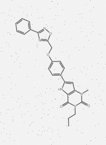 CCCn1c(=O)c2[nH]c(-c3ccc(OCc4nc(-c5ccccc5)no4)cc3)cc2n(C)c1=O